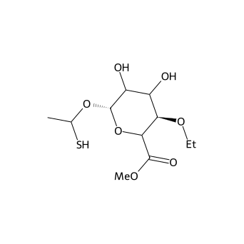 CCO[C@H]1C(C(=O)OC)O[C@H](OC(C)S)C(O)C1O